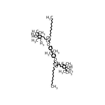 CCCCCCCCCCCCSCC(COc1ccc(C(C)(C)c2ccc(OCC(CSCCCCCCCCCCCC)OC(=O)CCc3cc(C(C)(C)C)c(O)c(C)c3C)cc2)cc1)OC(=O)CCc1cc(C(C)(C)C)c(O)c(C)c1C